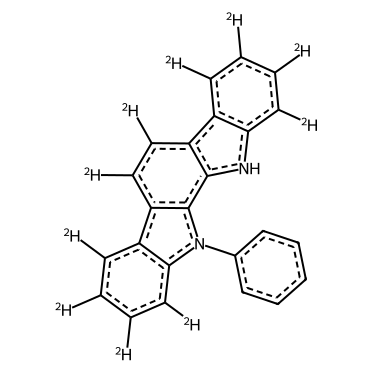 [2H]c1c([2H])c([2H])c2c([nH]c3c2c([2H])c([2H])c2c4c([2H])c([2H])c([2H])c([2H])c4n(-c4ccccc4)c32)c1[2H]